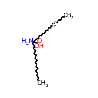 CCCCCCCCCCCCCCCCCCCC(N)(CCCCCCCCCCCCCCCCCC)C(=O)O